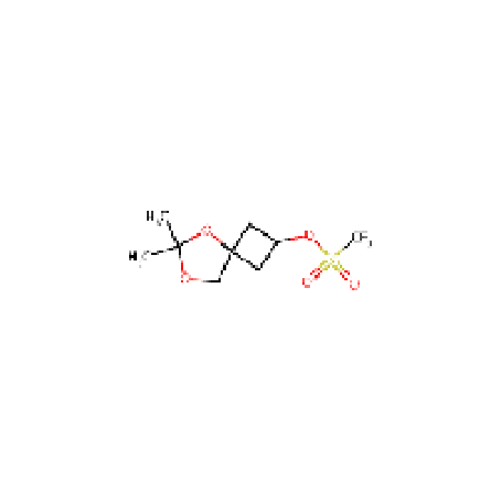 CC1(C)OCC2(CC(OS(=O)(=O)C(F)(F)F)C2)O1